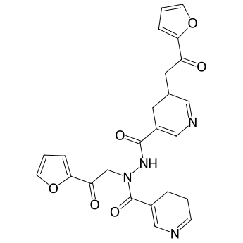 O=C(NN(CC(=O)c1ccco1)C(=O)C1=CN=CCC1)C1=CN=CC(CC(=O)c2ccco2)C1